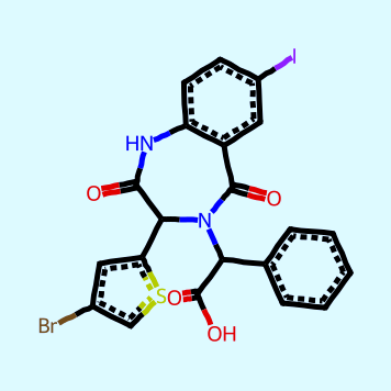 O=C(O)C(c1ccccc1)N1C(=O)c2cc(I)ccc2NC(=O)C1c1cc(Br)cs1